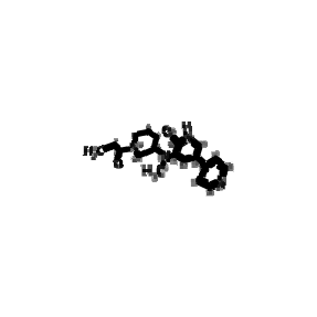 C=CC(=O)N1CCCC(N(C)c2cc(-c3ccncc3)c[nH]c2=O)C1